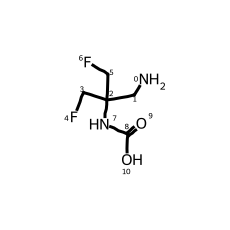 NCC(CF)(CF)NC(=O)O